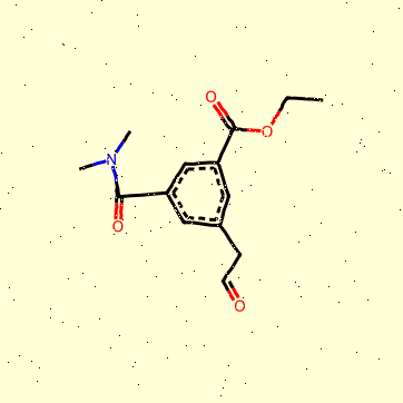 CCOC(=O)c1cc(CC=O)cc(C(=O)N(C)C)c1